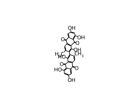 Cc1cc2c(c(O)c1-c1c(C)cc3c(c1O)C(=O)c1c(O)cc(O)cc1C3=O)C(=O)c1c(O)cc(O)cc1C2=O